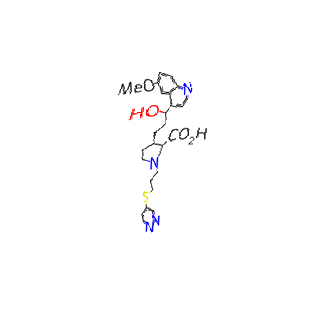 COc1ccc2nccc([C@H](O)CC[C@@H]3CCN(CCCSc4ccnnc4)C[C@@H]3C(=O)O)c2c1